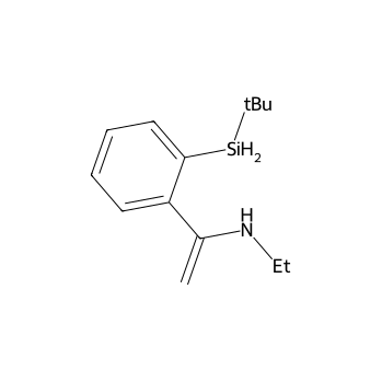 C=C(NCC)c1ccccc1[SiH2]C(C)(C)C